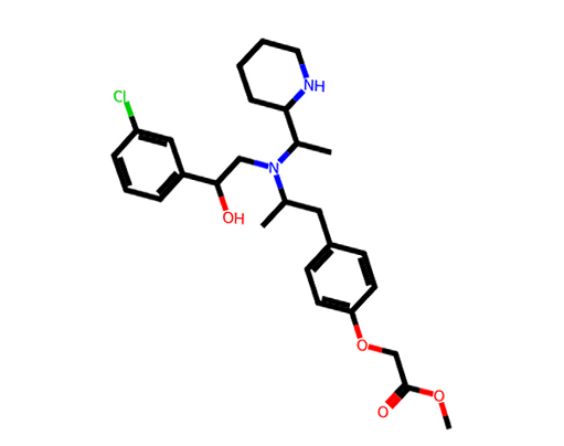 COC(=O)COc1ccc(CC(C)N(CC(O)c2cccc(Cl)c2)C(C)C2CCCCN2)cc1